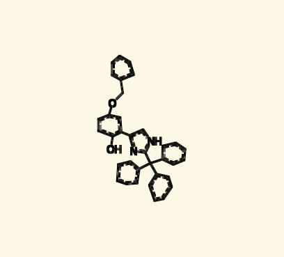 Oc1ccc(OCc2ccccc2)cc1-c1c[nH]c(C(c2ccccc2)(c2ccccc2)c2ccccc2)n1